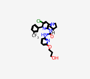 O=C(Nc1cccc(OCCCO)n1)N1c2nc(-c3cccc(C(F)(F)F)c3)c(Cl)cc2N2CC[C@H]1C2